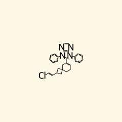 Cl/C=C/C1CC2(CCC=C(C3N(c4ccccc4)c4nccnc4N3c3ccccc3)C2)C1